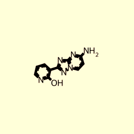 Nc1ccn2nc(-c3cccnc3O)nc2n1